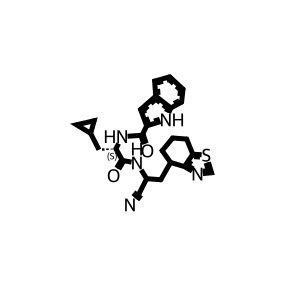 N#CC(CC1CCCc2scnc21)NC(=O)[C@H](CC1CC1)NC(=O)c1cc2ccccc2[nH]1